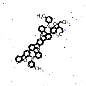 C=Cc1oc2c(N(c3cccc(C)c3)c3cccc4c3c3cccc5c6cc7c(cc6n4c53)c3cccc4c5c(N(c6cccc(C)c6)c6cccc8c6oc6ccccc68)cccc5n7c34)cccc2c1/C=C\C